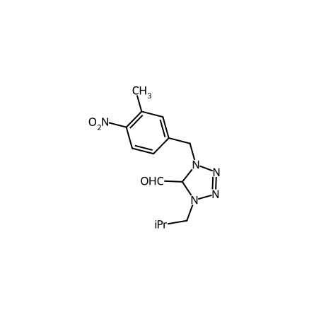 Cc1cc(CN2N=NN(CC(C)C)C2C=O)ccc1[N+](=O)[O-]